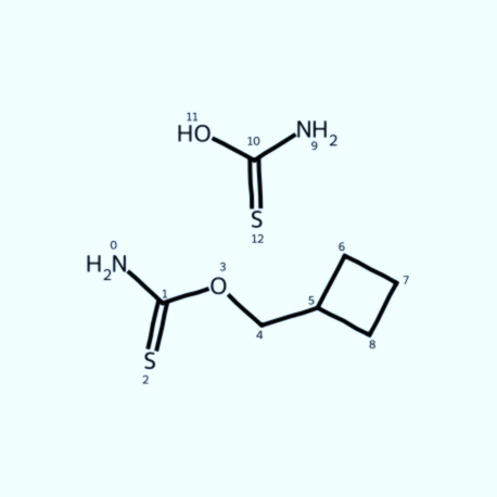 NC(=S)OCC1CCC1.NC(O)=S